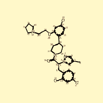 Cc1cnn([C@@H](Cc2ccc(Cl)cc2Cl)C(=O)N2CCC(c3ccc(Cl)cc3OCCN3CCCC3)CC2)c1